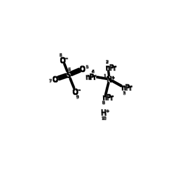 CCC[N+](CCC)(CCC)CCC.O=S(=O)([O-])[O-].[H+]